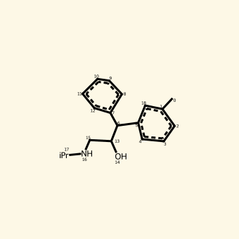 Cc1cccc(C(c2ccccc2)C(O)CNC(C)C)c1